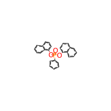 O=P(Oc1cccc2ccccc12)(Oc1cccc2ccccc12)c1ccccc1